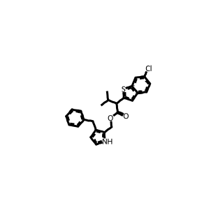 CC(C)C(C(=O)OCc1[nH]ccc1Cc1ccccc1)c1cc2ccc(Cl)cc2s1